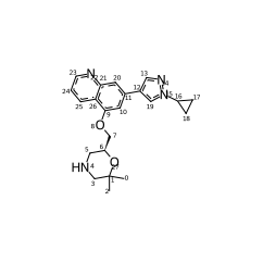 CC1(C)CNC[C@@H](COc2cc(-c3cnn(C4CC4)c3)cc3ncccc23)O1